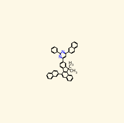 CC1(C)c2cc(-c3cc(-c4ccc5ccccc5c4)nc(-c4ccccc4)n3)ccc2-c2c(-c3ccc4ccccc4c3)cc3ccccc3c21